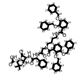 CC1(C)S[C@@H]2[C@H](NC(=O)[C@H](NC(=O)CN(CCCCNC(=O)c3cccc(OCc4ccccc4)c3OCc3ccccc3)C(=O)c3cccc(OCc4ccccc4)c3OCc3ccccc3)c3ccccc3)C(=O)N2[C@H]1C(=O)O